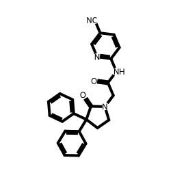 N#Cc1ccc(NC(=O)CN2CCC(c3ccccc3)(c3ccccc3)C2=O)nc1